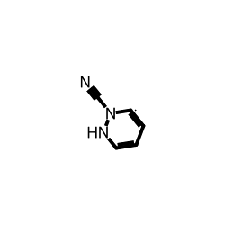 N#CN1[C]=CC=CN1